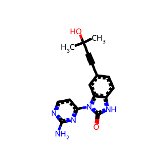 CC(C)(O)C#Cc1ccc2[nH]c(=O)n(-c3ccnc(N)n3)c2c1